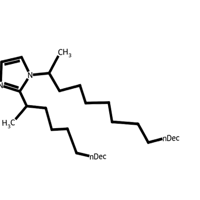 CCCCCCCCCCCCCCCCCC(C)n1ccnc1C(C)CCCCCCCCCCCCCC